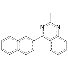 Cc1nc(-c2ccc3ccccc3c2)c2ccccc2n1